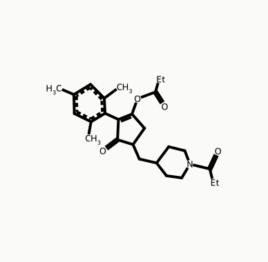 CCC(=O)OC1=C(c2c(C)cc(C)cc2C)C(=O)C(CC2CCN(C(=O)CC)CC2)C1